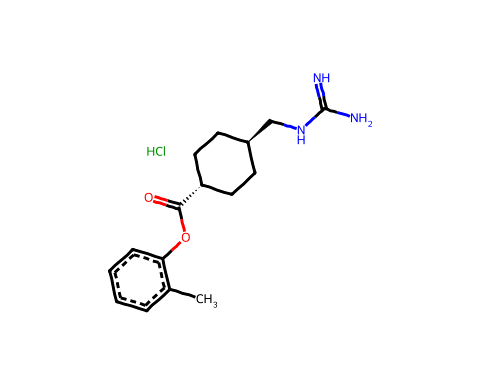 Cc1ccccc1OC(=O)[C@H]1CC[C@H](CNC(=N)N)CC1.Cl